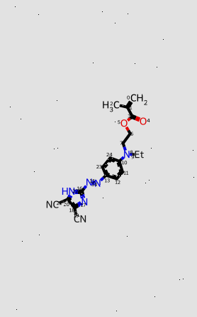 C=C(C)C(=O)OCCN(CC)c1ccc(N=Nc2nc(C#N)c(C#N)[nH]2)cc1